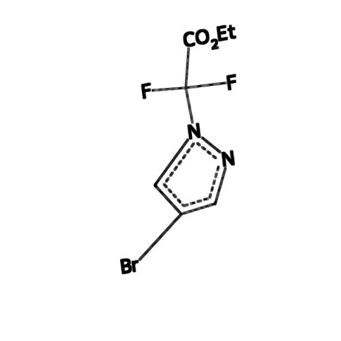 CCOC(=O)C(F)(F)n1cc(Br)cn1